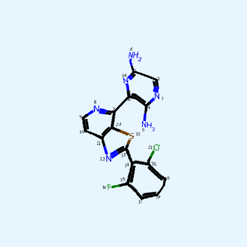 Nc1cnc(N)c(-c2nccc3nc(-c4c(F)cccc4Cl)sc23)n1